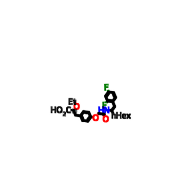 CCCCCCC(Cc1ccc(F)cc1F)NC(=O)COc1ccc(C[C@H](OCC)C(=O)O)cc1